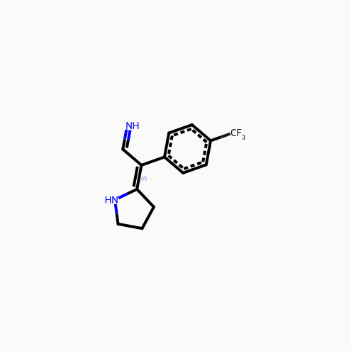 N=C/C(=C1/CCCN1)c1ccc(C(F)(F)F)cc1